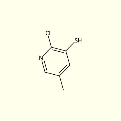 Cc1cnc(Cl)c(S)c1